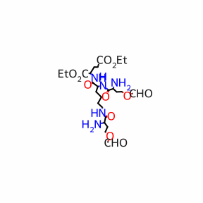 CCOC(=O)CCC(NC(=O)C(CCCCNC(=O)C(N)CCOC=O)NC(=O)C(N)CCOC=O)C(=O)OCC